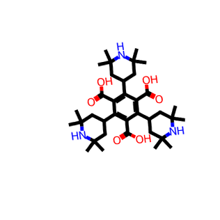 CC1(C)CC(c2c(C(=O)O)c(C3CC(C)(C)NC(C)(C)C3)c(C(=O)O)c(C3CC(C)(C)NC(C)(C)C3)c2C(=O)O)CC(C)(C)N1